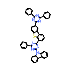 c1ccc(-c2nc(-c3ccccc3)nc(-c3ccc4sc5c(-c6nc(-c7ccccc7)nc(-n7c8ccccc8c8ccccc87)n6)cccc5c4c3)n2)cc1